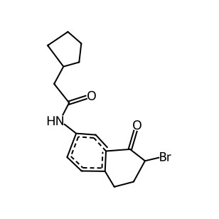 O=C(CC1CCCC1)Nc1ccc2c(c1)C(=O)C(Br)CC2